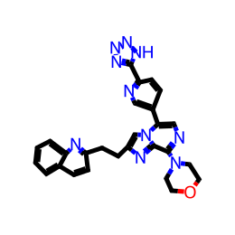 c1ccc2nc(CCc3cn4c(-c5ccc(-c6nnn[nH]6)nc5)cnc(N5CCOCC5)c4n3)ccc2c1